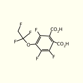 O=C(O)c1c(F)c(F)c(OC(F)(F)CF)c(F)c1C(=O)O